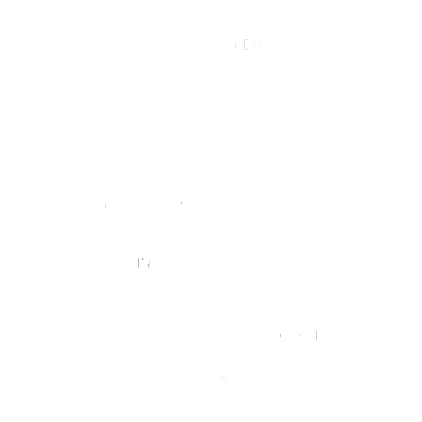 CCCCCCCCCCCCCCOC(=O)Nc1ccc(C(=O)O)c(O)c1